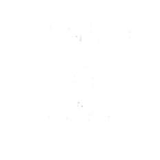 c1ccc2cc(N(c3ccc4ccccc4c3)c3cc(C4CCCCC4)c4cc(N(c5ccc6ccccc6c5)c5ccc6ccccc6c5)cc(C5CCCCC5)c4c3)ccc2c1